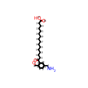 NCc1ccc([C]=O)c(C(=O)CCCCCCCCCCCCCCC(=O)O)c1